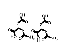 NC(=O)N[C@@H](CC(=O)O)C(=O)O.NC(=O)N[C@@H](CC(=O)O)C(=O)O